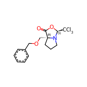 O=C1O[C@@H](C(Cl)(Cl)Cl)N2CCC[C@@]12COCc1ccccc1